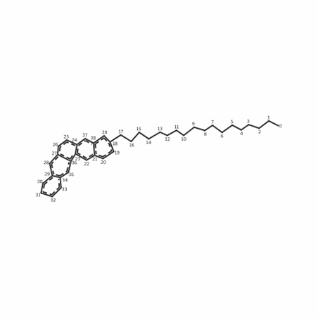 CCCCCCCCCCCCCCCCCCc1ccc2cc3c(ccc4cc5ccccc5cc43)cc2c1